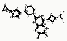 Cc1nc2nc(N3CCO[C@@H](c4cnn(C5CC5)c4)C3)nc([C@H]3C[C@@H](C(F)F)C3)c2nc1C